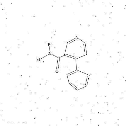 CCN(CC)C(=O)c1cnccc1-c1ccccc1